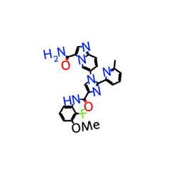 COc1cccc(NC(=O)c2cn(-c3ccc4ncc(C(N)=O)n4c3)c(-c3cccc(C)n3)n2)c1F